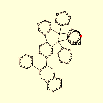 c1ccc(-c2nc3ccccc3nc2-c2ccc3c(c2)C(c2ccccc2)(c2ccccc2)C(c2ccccc2)(c2ccccc2)c2ccccc2-3)cc1